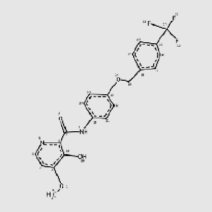 COc1ccnc(C(=O)Nc2ccc(OCc3ccc(C(F)(F)F)cc3)cc2)c1O